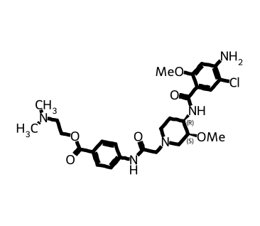 COc1cc(N)c(Cl)cc1C(=O)N[C@@H]1CCN(CC(=O)Nc2ccc(C(=O)OCCN(C)C)cc2)C[C@@H]1OC